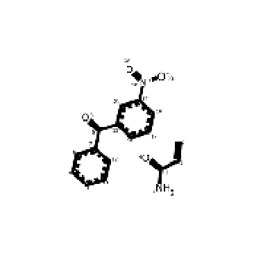 C=CC(N)=O.O=C(c1ccccc1)c1cccc([N+](=O)[O-])c1